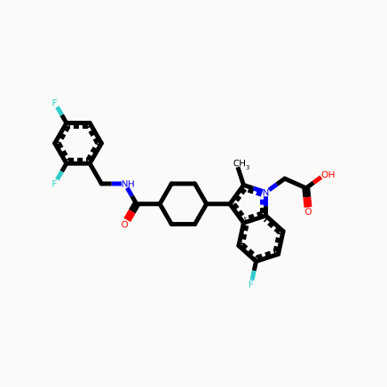 Cc1c(C2CCC(C(=O)NCc3ccc(F)cc3F)CC2)c2cc(F)ccc2n1CC(=O)O